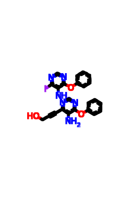 Nc1c(C#CCO)ncnc1Oc1ccccc1.Nc1c(I)ncnc1Oc1ccccc1